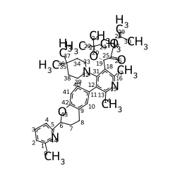 Cc1cccc(C2CCc3cc(-c4c(C)nc(C)c([C@H](OC(C)(C)C)C(=O)OC(C)C)c4N4CCC(C)(C)CC4)ccc3O2)n1